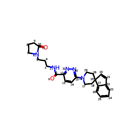 O=C(NCCCN1CCCC1=O)c1ccc(N2CCC3(C=Cc4ccccc43)CC2)nn1